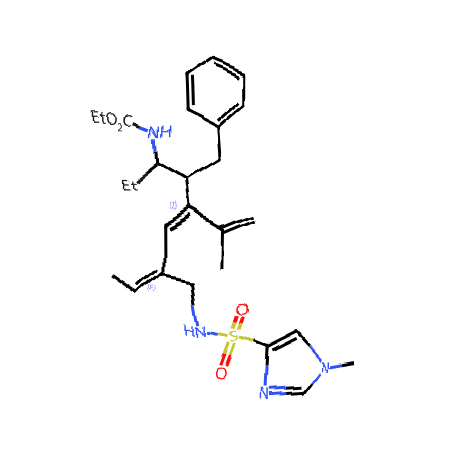 C=C(C)/C(=C\C(=C/C)CNS(=O)(=O)c1cn(C)cn1)C(Cc1ccccc1)C(CC)NC(=O)OCC